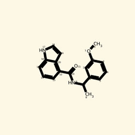 COc1cccc(C(C)NC(=O)c2cccc3[nH]ccc23)c1